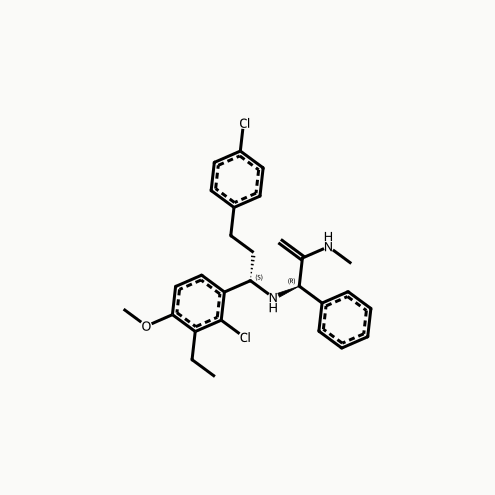 C=C(NC)[C@H](N[C@@H](CCc1ccc(Cl)cc1)c1ccc(OC)c(CC)c1Cl)c1ccccc1